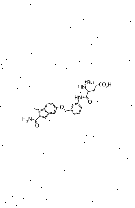 Cn1c(C(N)=O)cc2cc(OCc3cccc(NC(=O)C(CCC(=O)O)NC(C)(C)C)c3)ccc21